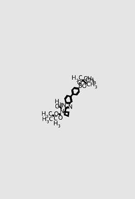 CCN(C(=O)OC(C)(C)C)C1(c2nc3cc(-c4ccc(B5OC(C)(C)C(C)(C)O5)cc4)ccc3[nH]2)CCC1